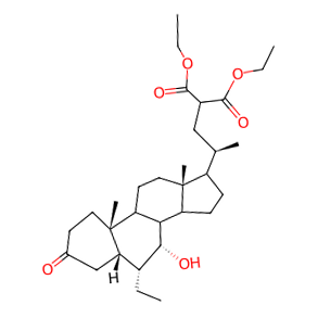 CCOC(=O)C(C[C@@H](C)C1CCC2C3C(CC[C@@]21C)[C@@]1(C)CCC(=O)C[C@H]1[C@@H](CC)[C@H]3O)C(=O)OCC